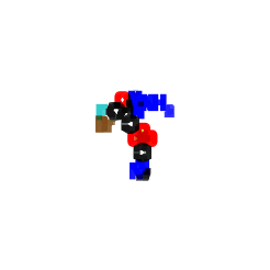 CN1C(=O)C(c2cccc(OS(=O)(=O)c3ccc(-n4cccn4)cc3)c2)(c2ccc(F)c(Br)c2)N=C1N